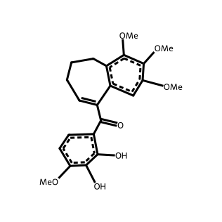 COc1ccc(C(=O)C2=CCCCc3c2cc(OC)c(OC)c3OC)c(O)c1O